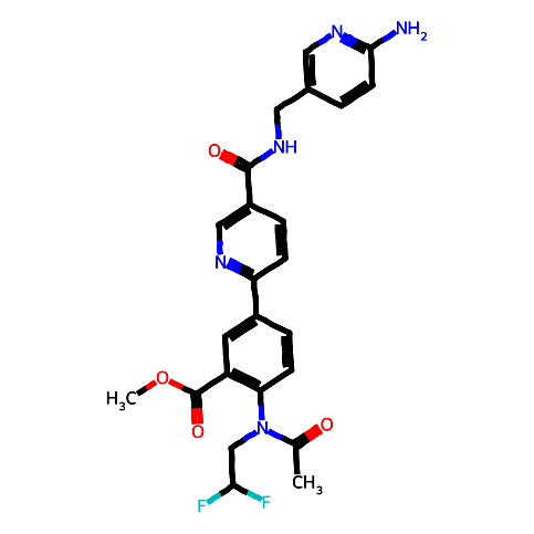 COC(=O)c1cc(-c2ccc(C(=O)NCc3ccc(N)nc3)cn2)ccc1N(CC(F)F)C(C)=O